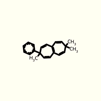 CC1(C)C=CC2=C(C=C1)C=CC(C)(c1ccccc1)C=C2